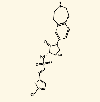 Cl.O=C1[C@@H](NS(=O)(=O)/C=C/c2ccc(Cl)s2)CCN1c1ccc2c(c1)CCNCC2